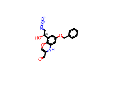 [N-]=[N+]=NC[C@H](O)c1cc(OCc2ccccc2)cc2c1OC=C(C=O)N2